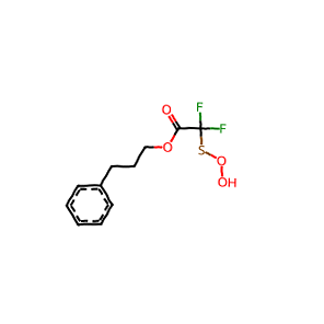 O=C(OCCCc1ccccc1)C(F)(F)SOO